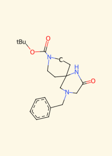 CC(C)(C)OC(=O)N1CCC2(CC1)CN(Cc1ccccc1)CC(=O)N2